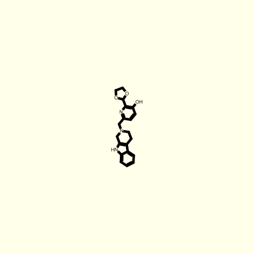 Oc1ccc(CN2CCc3c([nH]c4ccccc34)C2)nc1C1OCCO1